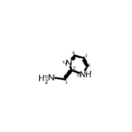 NC=C1N=CC=CN1